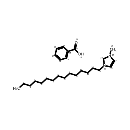 CCCCCCCCCCCCCCCN1C=CN(C)C1.O=C(O)c1ccccc1